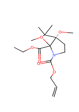 C=CCOC(=O)N1CC[C@](OC)(C(C)(C)C)C1(OC)C(=O)OCC